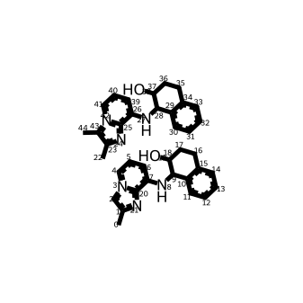 Cc1cn2cccc(NC3c4ccccc4CCC3O)c2n1.Cc1nc2c(NC3c4ccccc4CCC3O)cccn2c1C